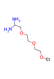 CCOCCOCCOCC(N)N